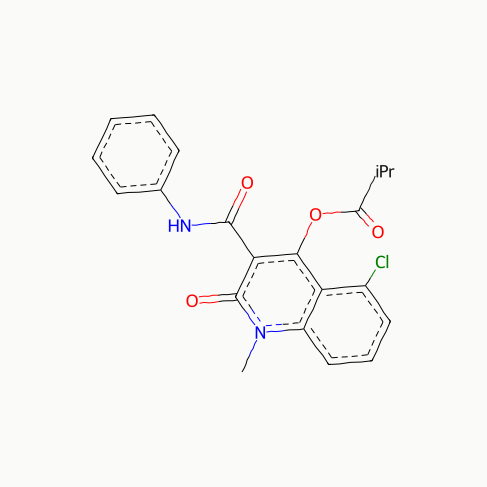 CC(C)C(=O)Oc1c(C(=O)Nc2ccccc2)c(=O)n(C)c2cccc(Cl)c12